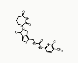 Cc1ccc(NC(=O)NCc2scc3c2CN([C@H]2CCCC(=O)NC2=O)C3=O)nc1Cl